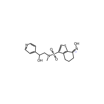 CN(CC(O)c1ccncc1)S(=O)(=O)c1csc2c1CCC/C2=N/O